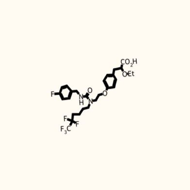 CCOC(Cc1ccc(OCCN(CCCCC(F)(F)C(F)(F)F)C(=O)NCc2ccc(F)cc2)cc1)C(=O)O